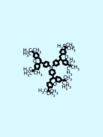 CC(C)(C)c1ccc2c(c1)Oc1cc(C(C)(C)C)ccc1C(c1ccc(N(c3ccc(C4=Cc5ccc(C(C)(C)C)cc5Oc5cc(C(C)(C)C)ccc54)cc3)c3ccc(C4=Cc5ccc(C(C)(C)C)cc5Oc5cc(C(C)(C)C)ccc54)cc3)cc1)=C2